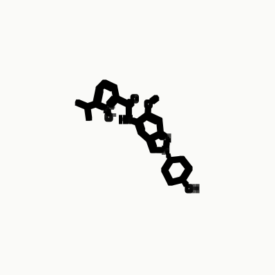 COc1cc2nn([C@H]3CC[C@H](O)CC3)cc2cc1NC(=O)c1cccc(C(C)C)[n+]1[O-]